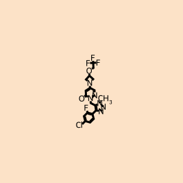 Cn1nnc(-c2ccc(Cl)cc2F)c1Cn1ncc(N2CC(OCC(F)(F)F)C2)cc1=O